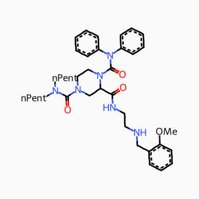 CCCCCN(CCCCC)C(=O)N1CCN(C(=O)N(c2ccccc2)c2ccccc2)C(C(=O)NCCNCc2ccccc2OC)C1